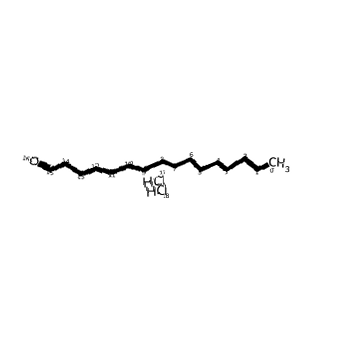 CCCCCCCCCCCCCCCC=O.Cl.Cl